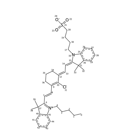 CCCCC[N+]1=C(/C=C/C2=C(Cl)C(=C/C=C3/N(CCCCS(=O)(=O)[O-])c4ccccc4C3(C)C)/CCC2)C(C)(C)c2ccccc21